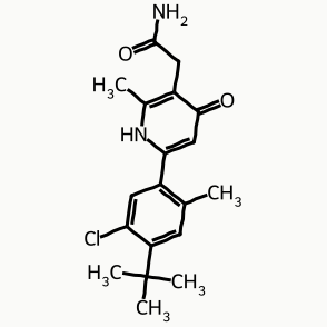 Cc1cc(C(C)(C)C)c(Cl)cc1-c1cc(=O)c(CC(N)=O)c(C)[nH]1